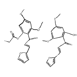 CCC(=O)Oc1cc(OC)cc(OC)c1C(=O)/C=C/c1ccco1.COc1cc(O)c(C(=O)/C=C/c2ccco2)c(OC)c1